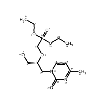 CCOP(=O)(CO[C@H](CO)Cn1ccc(C)nc1=O)OCC